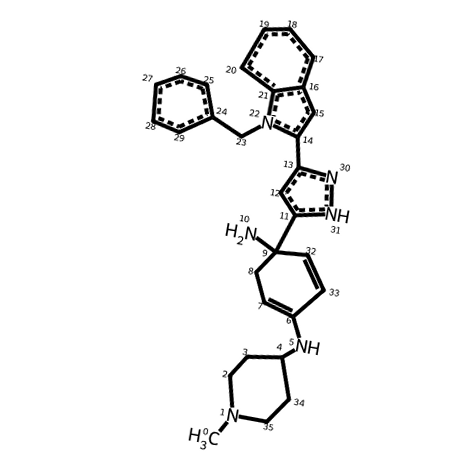 CN1CCC(NC2=CCC(N)(c3cc(-c4cc5ccccc5n4Cc4ccccc4)n[nH]3)C=C2)CC1